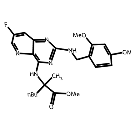 CCCCC(C)(Nc1nc(NCc2ccc(OC)cc2OC)nc2cc(F)cnc12)C(=O)OC